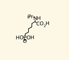 CC(C)NC(CCCCCP(=O)(O)O)C(=O)O